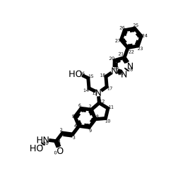 O=C(/C=C/c1ccc2c(c1)CCC2N(CCO)CCn1cc(-c2ccccc2)nn1)NO